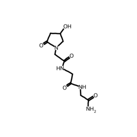 NC(=O)CNC(=O)CNC(=O)CN1CC(O)CC1=O